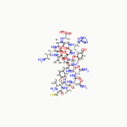 CC(C)C[C@H](NC(=O)[C@H](CC(C)C)NC(=O)[C@@H](N)CS)C(=O)N[C@@H](CC(N)=O)C(=O)N[C@@H](CC(N)=O)C(=O)N[C@@H](Cc1ccccc1)C(=O)N[C@@H](Cc1ccc(O)cc1)C(=O)N1CCC[C@H]1C(=O)N[C@@H](CCCNC(=N)N)C(=O)N[C@@H](CCC(=O)O)C(=O)N[C@@H](C)C(=O)N[C@@H](CCCCN)C(=O)N[C@H](C(=O)O)C(C)C